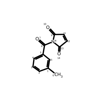 Cc1cccc(C(=O)N2C(=O)C=CC2=O)c1